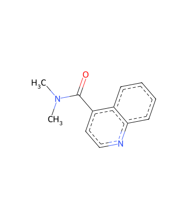 CN(C)C(=O)c1ccnc2ccccc12